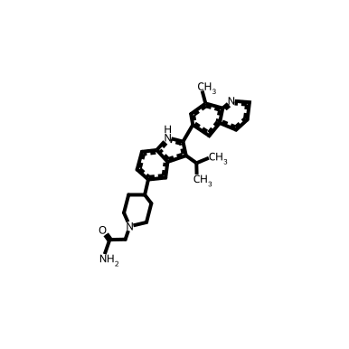 Cc1cc(-c2[nH]c3ccc(C4CCN(CC(N)=O)CC4)cc3c2C(C)C)cc2cccnc12